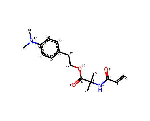 C=CC(=O)NC(C)(C)C(=O)OCCc1ccc(N(C)C)cc1